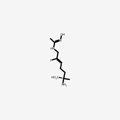 CC(=NO)NC/C(F)=C/CC[C@](C)(N)C(=O)O